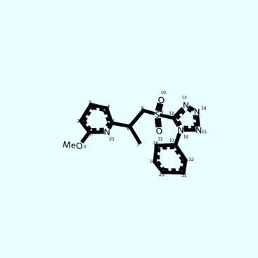 COc1cccc(C(C)CS(=O)(=O)c2nnnn2-c2ccccc2)n1